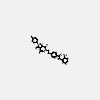 Cc1ccc(-n2nc3c(=O)n(CCc4ccc(C(=O)Nc5ccccc5N)cc4)nc(C)c3c2C)cc1